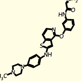 C=CC(=O)Nc1cccc(Oc2nccc3sc(Nc4ccc(N5CCN(C)CC5)cc4)cc23)c1